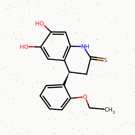 CCOc1ccccc1[C@@H]1CC(=S)Nc2cc(O)c(O)cc21